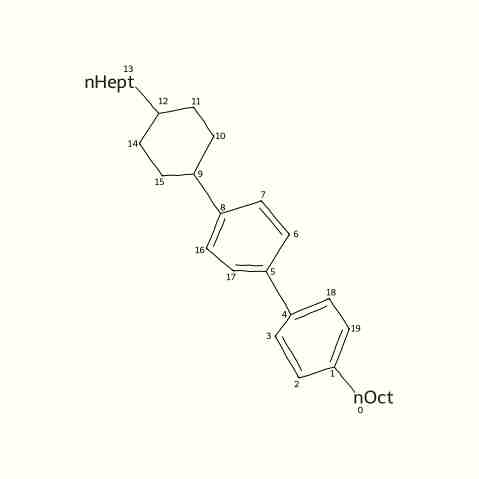 CCCCCCCCc1ccc(-c2ccc(C3CCC(CCCCCCC)CC3)cc2)cc1